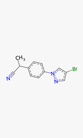 CC(C#N)c1ccc(-n2cc(Br)cn2)cc1